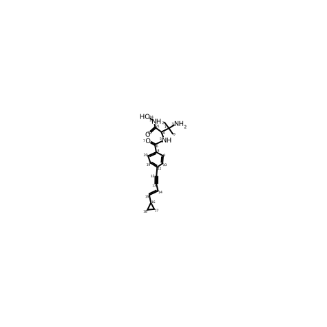 CC(C)(N)C(NC(=O)c1ccc(C#CC=CC2CC2)cc1)C(=O)NO